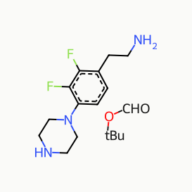 CC(C)(C)OC=O.NCCc1ccc(N2CCNCC2)c(F)c1F